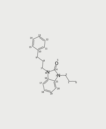 CCCn1c(=O)n(CCCc2ccccc2)c2ccccc21